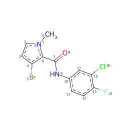 Cn1ccc(Br)c1C(=O)Nc1ccc(F)c(Cl)c1